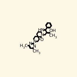 C/C(O)=C(\CN1CCCC2(CCN(c3nc(C)cc(C)n3)CC2)C1=O)C(=N)c1ccccc1